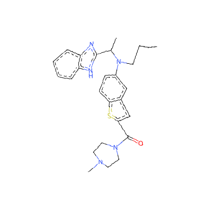 CCCN(c1ccc2sc(C(=O)N3CCN(C)CC3)cc2c1)C(C)c1nc2ccccc2[nH]1